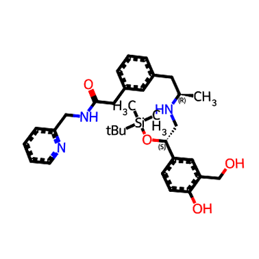 C[C@H](Cc1cccc(CC(=O)NCc2ccccn2)c1)NC[C@@H](O[Si](C)(C)C(C)(C)C)c1ccc(O)c(CO)c1